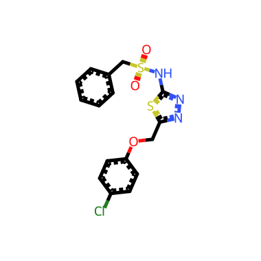 O=S(=O)(Cc1ccccc1)Nc1nnc(COc2ccc(Cl)cc2)s1